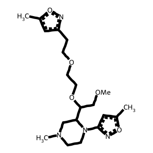 COCC(OCCOCCc1cc(C)on1)C1CN(C)CCN1c1cc(C)on1